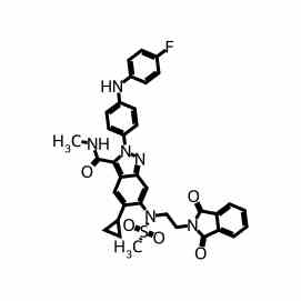 CNC(=O)c1c2cc(C3CC3)c(N(CCN3C(=O)c4ccccc4C3=O)S(C)(=O)=O)cc2nn1-c1ccc(Nc2ccc(F)cc2)cc1